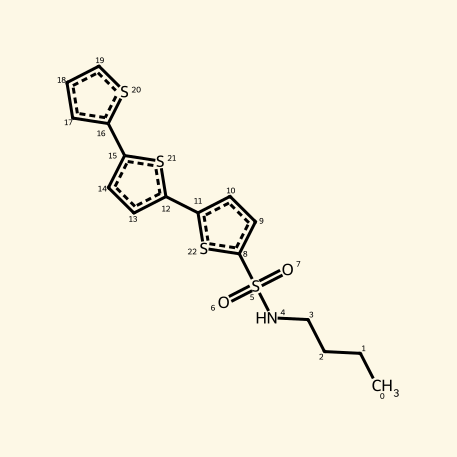 CCCCNS(=O)(=O)c1ccc(-c2ccc(-c3cccs3)s2)s1